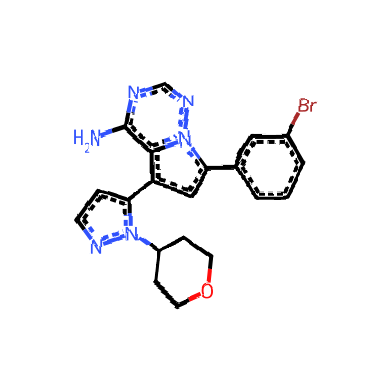 Nc1ncnn2c(-c3cccc(Br)c3)cc(-c3ccnn3C3CCOCC3)c12